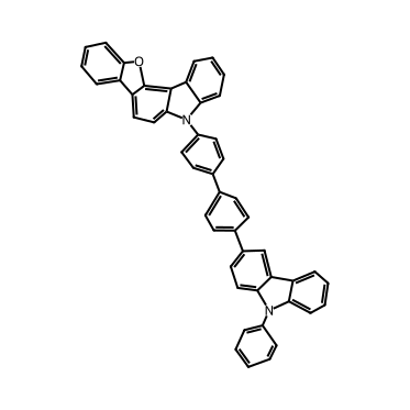 c1ccc(-n2c3ccccc3c3cc(-c4ccc(-c5ccc(-n6c7ccccc7c7c8oc9ccccc9c8ccc76)cc5)cc4)ccc32)cc1